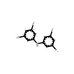 Fc1cc(F)cc(Bc2cc(F)cc(F)c2)c1